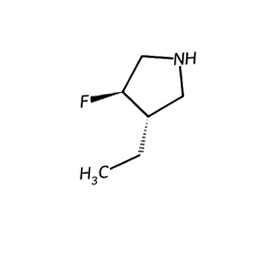 CC[C@H]1CNC[C@@H]1F